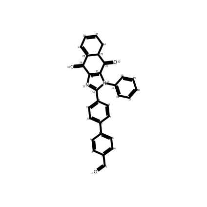 O=Cc1ccc(-c2ccc(-c3nc4c(n3-c3ccccc3)C(=O)C3CC=CC=C3C4=O)cc2)cc1